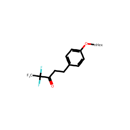 CCCCCCOc1ccc(CCC(=O)C(F)(F)C(F)(F)F)cc1